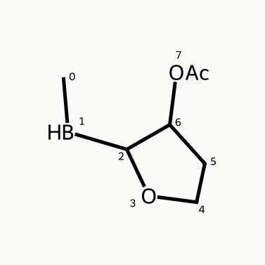 CBC1OCCC1OC(C)=O